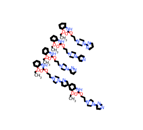 CCOc1ccccc1NC(=O)OCCCN1CCN(c2ccccn2)CC1.CCOc1ccccc1NC(=O)OCCCN1CCN(c2cccnn2)CC1.CCOc1ccccc1NC(=O)OCCCN1CCN(c2ccncc2)CC1.CCOc1ccccc1NC(=O)OCCCN1CCN(c2ccncn2)CC1.CCOc1ccccc1NC(=O)OCCCN1CCN(c2ncccn2)CC1